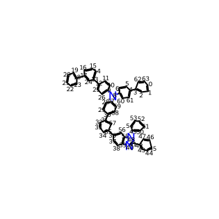 c1ccc(-c2ccc(N(c3ccc(-c4cccc(-c5ccccc5)c4)cc3)c3ccc(-c4cccc(-c5ccc6nc(-c7ccccc7)n(-c7ccccc7)c6c5)c4)cc3)cc2)cc1